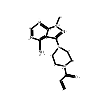 C=CC(=O)N1CCN(c2nn(C)c3ncnc(N)c23)CC1